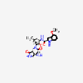 COc1cccc2[nH]c(C(=O)N[C@@H](CC(C)C)C(=O)CN(C[C@@H]3CCNC3=O)C(=O)[C@@H]3CN3)cc12